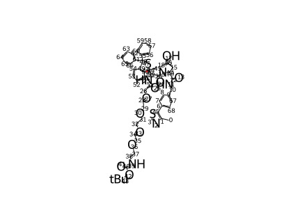 Cc1ncsc1-c1ccc(CNC(=O)[C@@H]2C[C@@H](O)CN2C(=O)[C@@H](NC(=O)COCCOCCOCCOCCNC(=O)OC(C)(C)C)C(C)(C)SC(c2ccccc2)(c2ccccc2)c2ccccc2)cc1